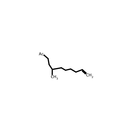 C=CCCCCC(C)CCC(C)=O